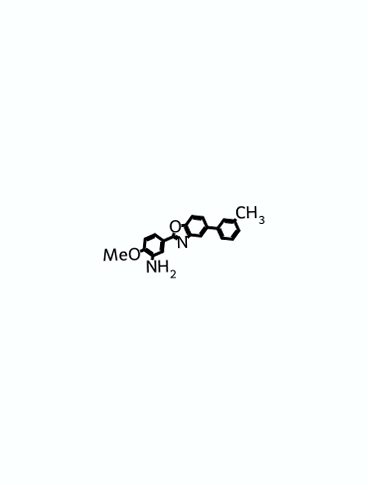 COc1ccc(-c2nc3cc(-c4cccc(C)c4)ccc3o2)cc1N